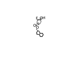 O=C(OCc1ccc2ccccc2c1)N1CC[C@H](O)[C@H](F)C1